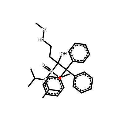 CONCCC(O)(C(c1ccccc1)(c1ccccc1)c1ccccc1)P(=O)(OC)N(C(C)C)C(C)C